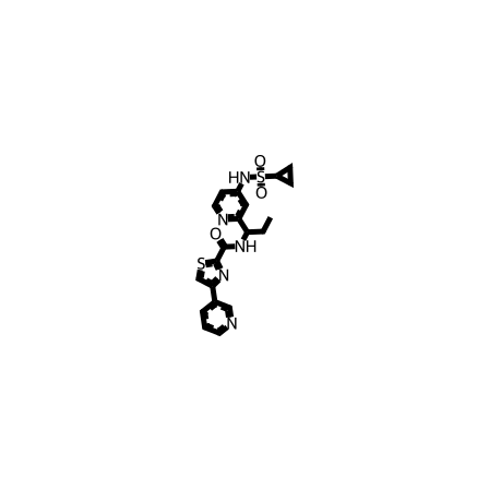 CCC(NC(=O)c1nc(-c2cccnc2)cs1)c1cc(NS(=O)(=O)C2CC2)ccn1